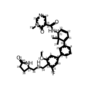 COc1cc(-c2cccc(C3=CC=C[C@H](NC(=O)c4cncn(C)c4=O)C3(C)C)c2)cc(F)c1CNCC1CCC(=O)N1